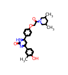 Cc1cc(-c2cc(-c3ccc(OCC(=O)N4CC(C)CC(C)C4)cc3)[nH]c(=O)n2)ccc1O